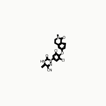 C=C1NC(=O)N(c2cc(Cl)c(Oc3ccc4c(c3)CCN(C)C4=O)c(Cl)c2)N=C1C#N